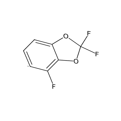 Fc1[c]ccc2c1OC(F)(F)O2